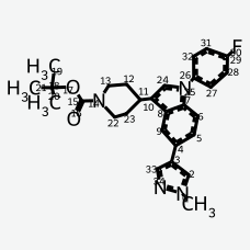 Cn1cc(-c2ccc3c(c2)c(C2CCN(C(=O)OC(C)(C)C)CC2)cn3-c2ccc(F)cc2)cn1